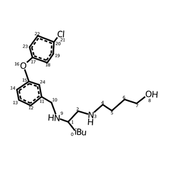 CCC(C)C(CNCCCCO)NCc1cccc(Oc2ccc(Cl)cc2)c1